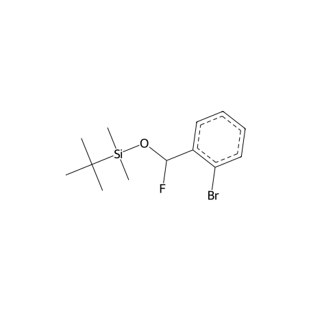 CC(C)(C)[Si](C)(C)OC(F)c1ccccc1Br